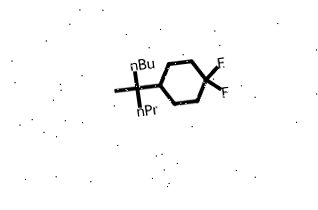 CCCCC(C)(CCC)C1CCC(F)(F)CC1